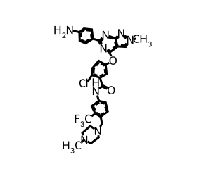 CN1CCN(Cc2ccc(NC(=O)c3cc(Oc4nc(-c5ccc(N)cc5)nc5nn(C)cc45)ccc3Cl)cc2C(F)(F)F)CC1